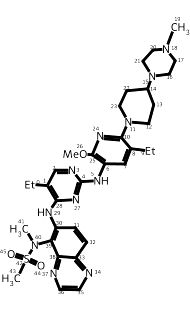 CCc1cnc(Nc2cc(CC)c(N3CCC(N4CCN(C)CC4)CC3)nc2OC)nc1Nc1ccc2nccnc2c1N(C)S(C)(=O)=O